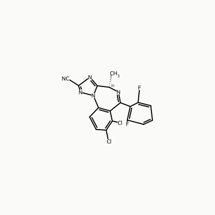 C[C@@H]1N=C(c2c(F)cccc2F)c2c(ccc(Cl)c2Cl)-n2nc(C#N)nc21